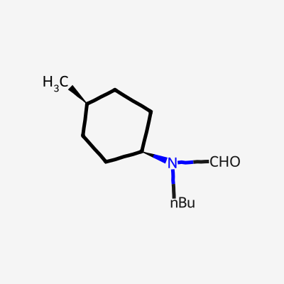 CCCCN(C=O)[C@H]1CC[C@@H](C)CC1